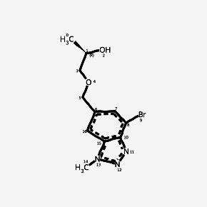 C[C@@H](O)COCc1cc(Br)c2nnn(C)c2c1